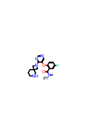 CC(C)N(C)C(=O)c1cc(F)ccc1Oc1cncnc1N1CC2(CCCNC2)C1